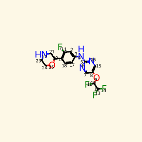 Fc1cc(Nc2ncc(OC(F)C(F)F)cn2)ccc1C1CNCCO1